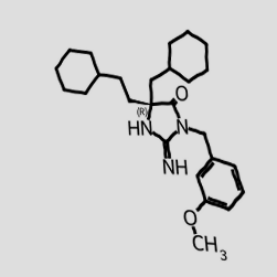 COc1cccc(CN2C(=N)N[C@](CCC3CCCCC3)(CC3CCCCC3)C2=O)c1